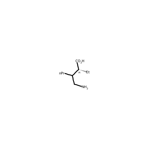 CCCC(CN)[C@@H](CC)C(=O)O